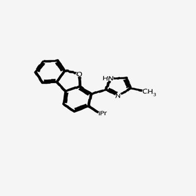 Cc1c[nH]c(-c2c(C(C)C)ccc3c2oc2ccccc23)n1